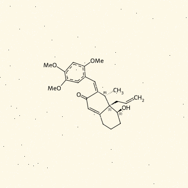 C=CC[C@@]12C(=CC(=O)C(=Cc3cc(OC)c(OC)cc3OC)[C@@H]1C)CCC[C@@H]2O